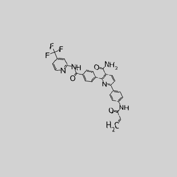 C=CC(=O)Nc1ccc(-c2ccc(C(N)=O)c(-c3ccc(C(=O)Nc4cc(C(F)(F)F)ccn4)cc3)n2)cc1